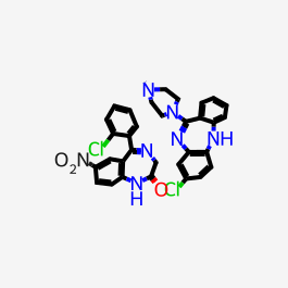 CN1CCN(C2=Nc3cc(Cl)ccc3Nc3ccccc32)CC1.O=C1CN=C(c2ccccc2Cl)c2cc([N+](=O)[O-])ccc2N1